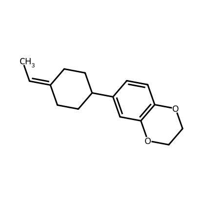 CC=C1CCC(c2ccc3c(c2)OCCO3)CC1